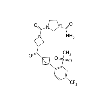 CS(=O)(=O)c1cc(C(F)(F)F)ccc1C12CC(C(=O)C3CN(C(=O)N4CC[C@H](C(N)=O)C4)C3)(C1)C2